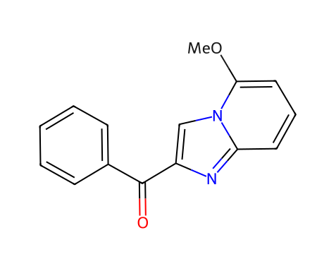 COc1cccc2nc(C(=O)c3ccccc3)cn12